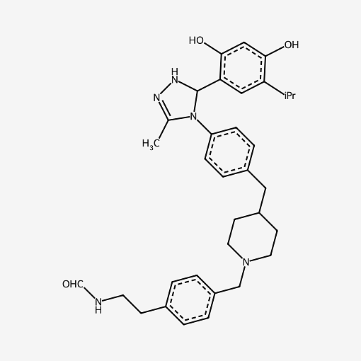 CC1=NNC(c2cc(C(C)C)c(O)cc2O)N1c1ccc(CC2CCN(Cc3ccc(CCNC=O)cc3)CC2)cc1